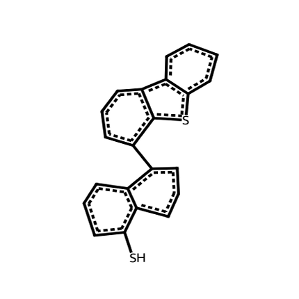 Sc1cccc2c(-c3cccc4c3sc3ccccc34)cccc12